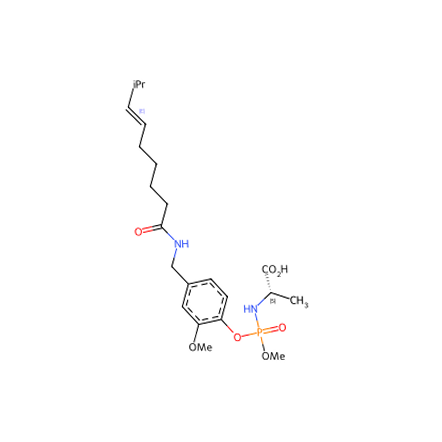 COc1cc(CNC(=O)CCCC/C=C/C(C)C)ccc1OP(=O)(N[C@@H](C)C(=O)O)OC